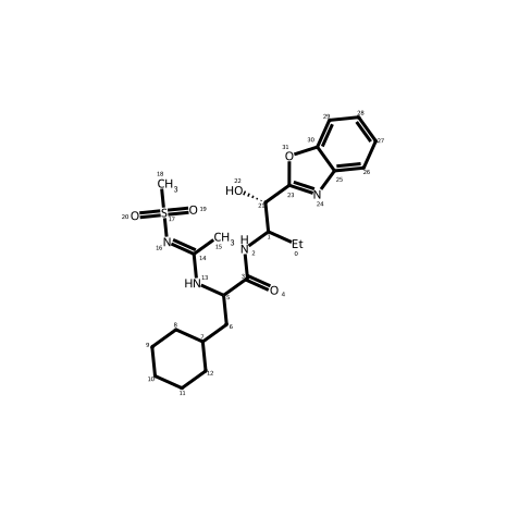 CCC(NC(=O)C(CC1CCCCC1)N/C(C)=N/S(C)(=O)=O)[C@H](O)c1nc2ccccc2o1